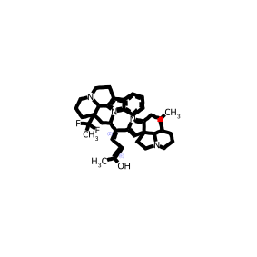 CCC12CCCN3CCC4(C=C(/C(=C\C=C(/C)O)C5CC6(C(C)(F)F)CCCN7CCc8c(n5c5ccccc85)C76)N=C4CC1)C32